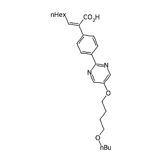 CCCCCCC=C(C(=O)O)c1ccc(-c2ncc(OCCCCOCCCC)cn2)cc1